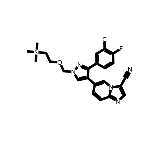 C[Si](C)(C)CCOCn1cc(-c2ccc3ncc(C#N)n3c2)c(-c2ccc(F)c(Cl)c2)n1